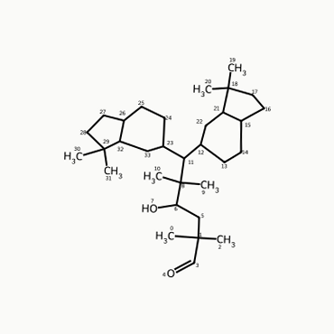 CC(C)(C=O)CC(O)C(C)(C)C(C1CCC2CCC(C)(C)C2C1)C1CCC2CCC(C)(C)C2C1